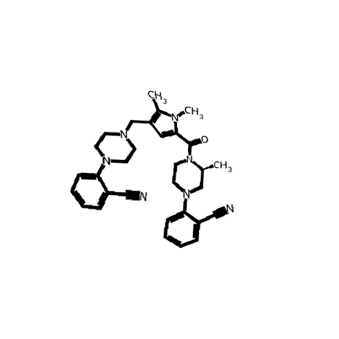 Cc1c(CN2CCN(c3ccccc3C#N)CC2)cc(C(=O)N2CCN(c3ccccc3C#N)C[C@@H]2C)n1C